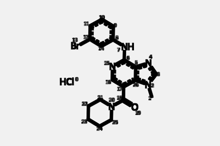 Cl.Cn1cnc2c(Nc3cccc(Br)c3)ncc(C(=O)N3CCCCC3)c21